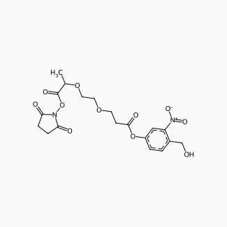 CC(OCCOCCC(=O)Oc1ccc(CO)c([N+](=O)[O-])c1)C(=O)ON1C(=O)CCC1=O